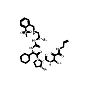 C=CCNC(=O)C(=O)C(CCCC)NC(=O)[C@@H]1[C@@H](C(C)C)CCN1C(=O)[C@@H](NC(=O)N[C@H](CNCc1ccccc1S(C)(=O)=O)C(C)(C)C)C1CCCCC1